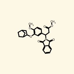 COC(=O)CC(c1ccc(OC)c(OC2CC3CCC2C3)c1)N1C(=O)c2ccccc2C1=O